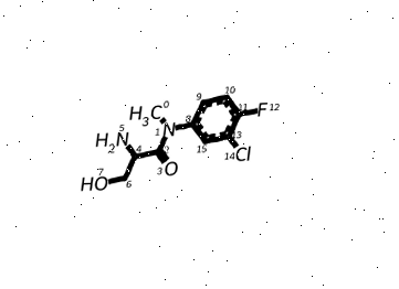 CN(C(=O)C(N)CO)c1ccc(F)c(Cl)c1